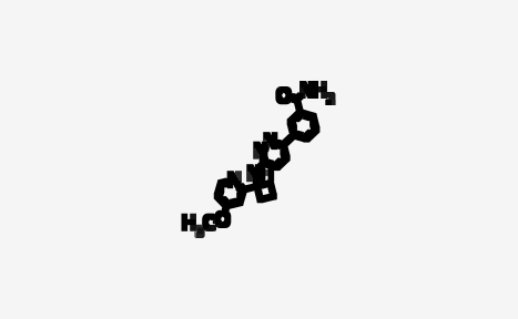 COc1ccnc(C2(Nc3ccc(-c4cccc(C(N)=O)c4)nn3)CCC2)c1